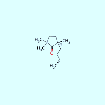 C=CCC[C@@]1(C)CCC(C)(C)C1=O